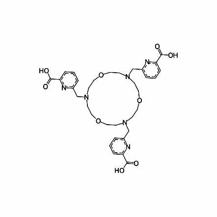 O=C(O)c1cccc(CN2CCOCCN(Cc3cccc(C(=O)O)n3)CCOCCN(Cc3cccc(C(=O)O)n3)CCOCC2)n1